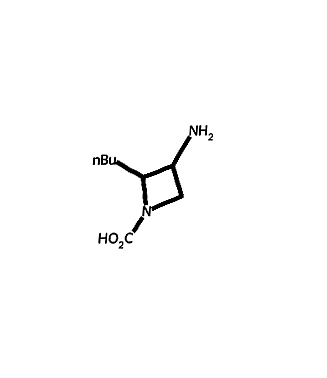 CCCCC1C(N)CN1C(=O)O